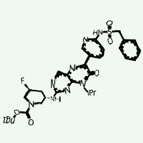 CC(C)n1c(=O)c(-c2ccc(NS(=O)(=O)Cc3ccccc3)nc2)nc2cnc(N[C@H]3C[C@H](F)CN(C(=O)OC(C)(C)C)C3)nc21